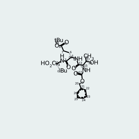 CCC(C)[C@@H](NC(=O)[C@H](CCC(=O)OC(C)(C)C)NC(=O)[C@@H](NC(=O)OCc1ccccc1)C(C)O)C(=O)O